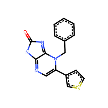 O=C1[N]C2=NC=C(c3ccsc3)N(Cc3ccccc3)C2=N1